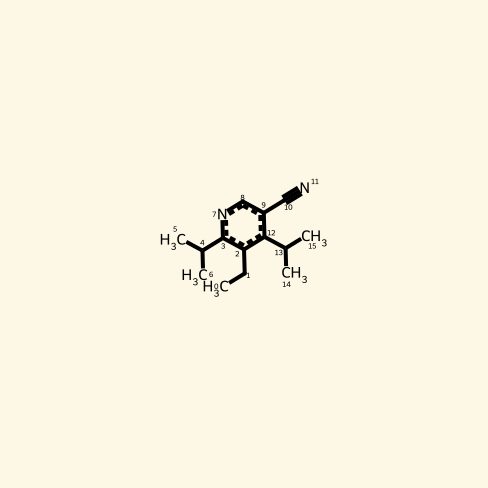 CCc1c(C(C)C)ncc(C#N)c1C(C)C